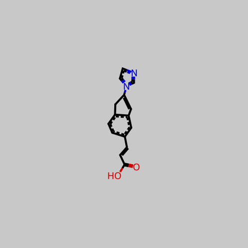 O=C(O)/C=C/c1ccc2c(c1)C=C(n1ccnc1)C2